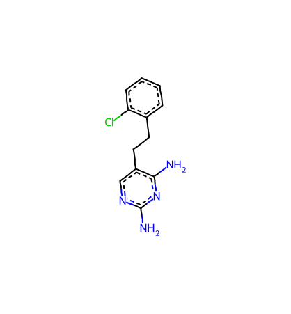 Nc1ncc(CCc2ccccc2Cl)c(N)n1